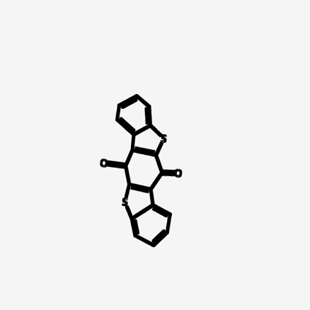 O=C1c2sc3ccccc3c2C(=O)c2sc3ccccc3c21